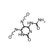 NC(=O)Nc1nc(=O)[nH]c(N=C=O)c1N=C=O